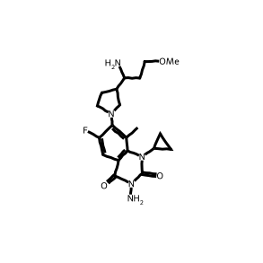 COCCC(N)C1CCN(c2c(F)cc3c(=O)n(N)c(=O)n(C4CC4)c3c2C)C1